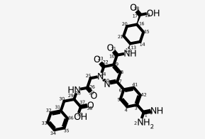 N=C(N)c1ccc(-c2cc(C(=O)N[C@H]3CC[C@H](C(=O)O)CC3)c(=O)n(CC(=O)NC(Cc3ccccc3)C(=O)O)n2)cc1